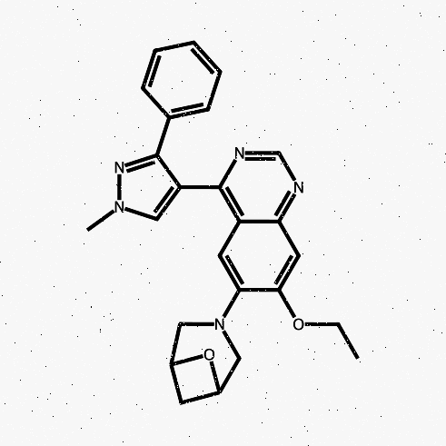 CCOc1cc2ncnc(-c3cn(C)nc3-c3ccccc3)c2cc1N1CC2CC(C1)O2